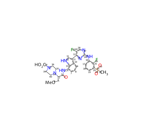 COCC(C(=O)Nc1cccc2c(-c3nc(Nc4cccc(S(C)(=O)=O)c4F)ncc3F)c[nH]c12)N1CCN(C(=O)O)CC1